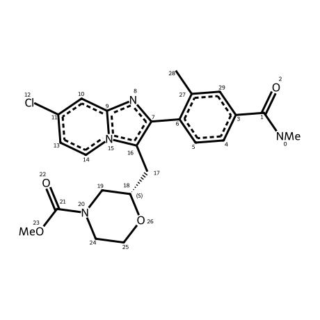 CNC(=O)c1ccc(-c2nc3cc(Cl)ccn3c2C[C@H]2CN(C(=O)OC)CCO2)c(C)c1